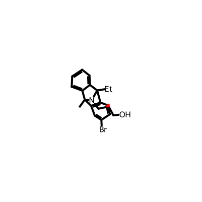 CCC12c3ccccc3C(C)(c3cc(Br)ccc31)N2CCCO